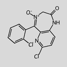 O=C1C[N+]([O-])=C(c2ccccc2Cl)c2nc(Cl)ccc2N1